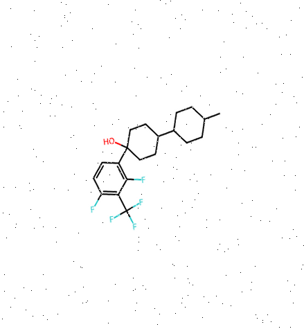 CC1CCC(C2CCC(O)(c3ccc(F)c(C(F)(F)F)c3F)CC2)CC1